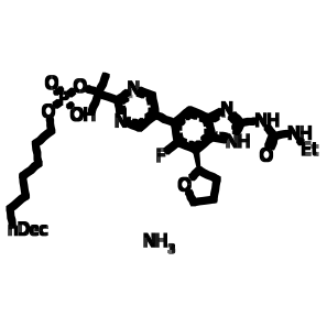 CCCCCCCCCCCCCCCCOP(=O)(O)OC(C)(C)c1ncc(-c2cc3nc(NC(=O)NCC)[nH]c3c([C@H]3CCCO3)c2F)cn1.N